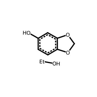 CCO.Oc1ccc2c(c1)OCO2